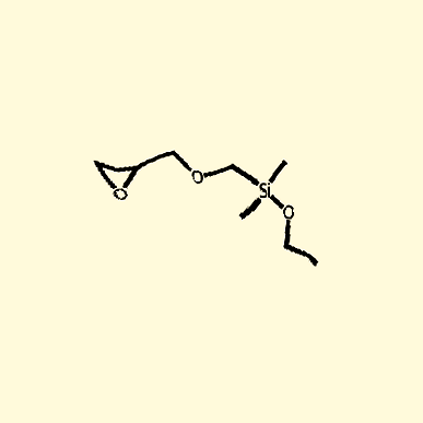 CCO[Si](C)(C)COCC1CO1